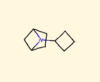 [CH]1CC(N2C3CCC2C3)C1